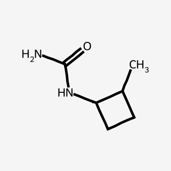 CC1CC[C]1NC(N)=O